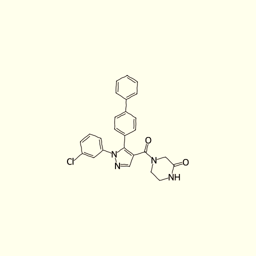 O=C1CN(C(=O)c2cnn(-c3cccc(Cl)c3)c2-c2ccc(-c3ccccc3)cc2)CCN1